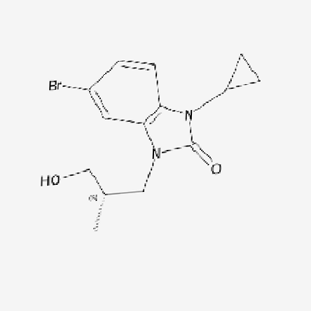 C[C@H](CO)Cn1c(=O)n(C2CC2)c2ccc(Br)cc21